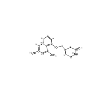 Nc1nc(N)c2c(OCC3CCNC(=O)C3)cccc2n1